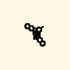 Cc1cc2c3cc4ccccc4cc3n3c2c(c1)n1c2cc4ccccc4cc2nc13